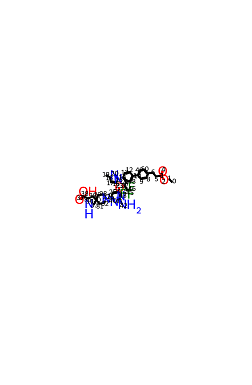 CCOC(=O)CCc1ccc(-c2ccc(-n3ccc(C)n3)c([C@@H](Oc3cc(N4CCC5(CC4)CNC(C(=O)O)C5)nc(N)n3)C(F)(F)F)c2)cc1